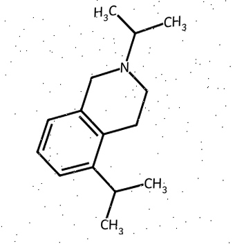 CC(C)c1cccc2c1CCN(C(C)C)C2